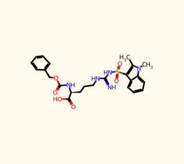 Cc1c(S(=O)(=O)NC(=N)NCCC[C@H](NC(=O)OCc2ccccc2)C(=O)O)c2ccccc2n1C